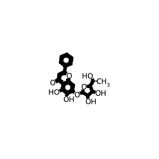 C[C@@H](O)C1OC(Oc2cc3oc(-c4ccccc4)cc(=O)c3c(O)c2O)C(O)C1O